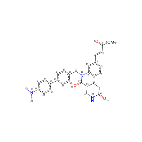 COC(=O)/C=C/c1cccc(N(Cc2ccc(-c3ccc(N(C)C)cc3)cc2)C(=O)C2CCC(=O)NC2)c1